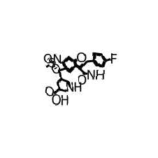 CNC(=O)c1c(-c2ccc(F)cc2)oc2cc(N(C)S(C)(=O)=O)c(CC3CNCC(C(=O)O)C3)cc12